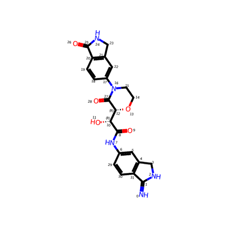 N=C1NCc2cc(NC(=O)[C@H](O)[C@H]3OCCN(c4ccc5c(c4)CNC5=O)C3=O)ccc21